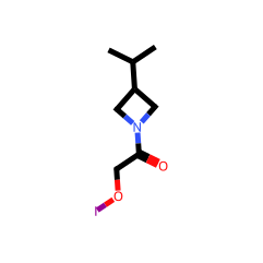 CC(C)C1CN(C(=O)COI)C1